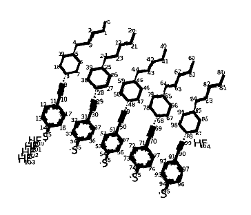 CCCCC[C@H]1CC[C@H](C#Cc2ccc([S])cc2)CC1.CCCCC[C@H]1CC[C@H](C#Cc2ccc([S])cc2)CC1.CCCCC[C@H]1CC[C@H](C#Cc2ccc([S])cc2)CC1.CCCCC[C@H]1CC[C@H](C#Cc2ccc([S])cc2)CC1.CCCCC[C@H]1CC[C@H](C#Cc2ccc([S])cc2)CC1.F.F.F.F.F